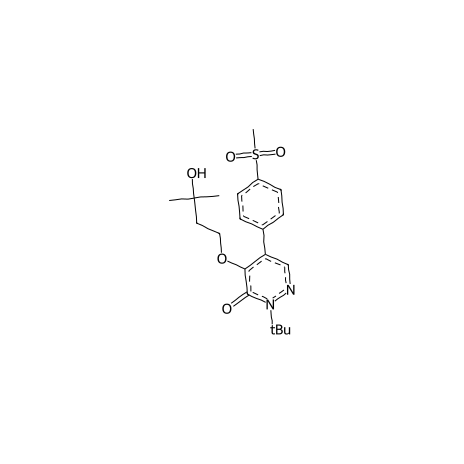 CC(C)(O)CCOc1c(-c2ccc(S(C)(=O)=O)cc2)cnn(C(C)(C)C)c1=O